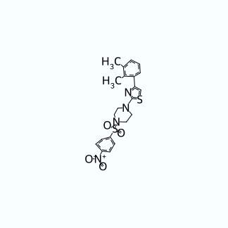 Cc1cccc(-c2csc(N3CCN(S(=O)(=O)c4ccc([N+](=O)[O-])cc4)CC3)n2)c1C